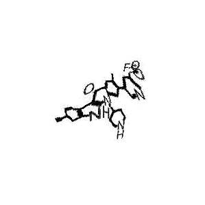 C#Cc1ccc2c(c1)[nH]c1c2c(=O)c2cc(C)c(-c3cncc(S(=O)(=O)F)c3)cc2n1C1CCNCC1